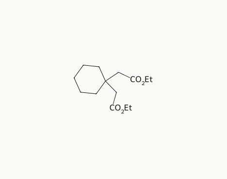 CCOC(=O)CC1(CC(=O)OCC)CCCCC1